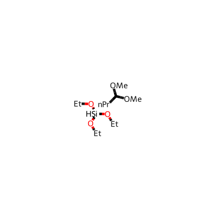 CCCC(OC)OC.CCO[SiH](OCC)OCC